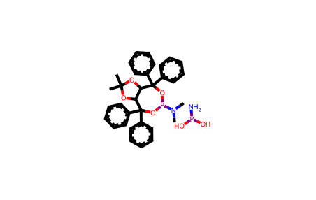 CN(C)P1OC(c2ccccc2)(c2ccccc2)C2OC(C)(C)OC2C(c2ccccc2)(c2ccccc2)O1.NP(O)O